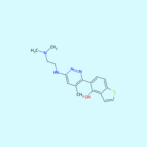 Cc1cc(NCCN(C)C)nnc1-c1ccc2sccc2c1O